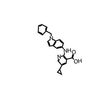 O=C(O)c1cc(C2CC2)cnc1Nc1ccc2c(ccn2Cc2ccccc2)c1